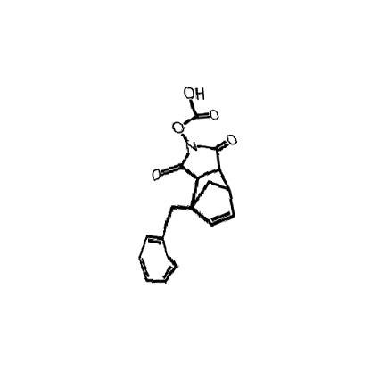 O=C(O)ON1C(=O)C2C3C=CC(Cc4ccccc4)(C3)C2C1=O